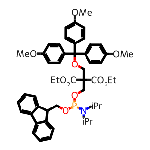 CCOC(=O)C(COP(OCC1c2ccccc2-c2ccccc21)N(C(C)C)C(C)C)(COC(c1ccc(OC)cc1)(c1ccc(OC)cc1)c1ccc(OC)cc1)C(=O)OCC